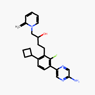 C=C1C=CC=CN1CC(O)CCc1c(C2CCC2)ccc(-c2cnc(N)cn2)c1F